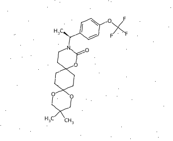 C[C@@H](c1ccc(OC(F)(F)F)cc1)N1CCC2(CCC3(CC2)OCC(C)(C)CO3)OC1=O